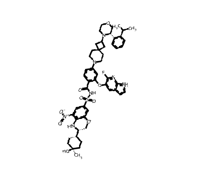 CC(C)c1ccccc1[C@H]1COCCN1C1CC2(CCN(c3ccc(C(=O)NS(=O)(=O)c4cc5c(c([N+](=O)[O-])c4)N[C@@H]([C@H]4CC[C@](C)(O)CC4)CO5)c(Oc4cc5cc[nH]c5nc4F)c3)CC2)C1